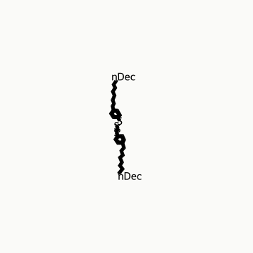 CCCCCCCCCCCCCCCCCCc1ccc(SSSSc2ccc(CCCCCCCCCCCCCCCCCC)cc2)cc1